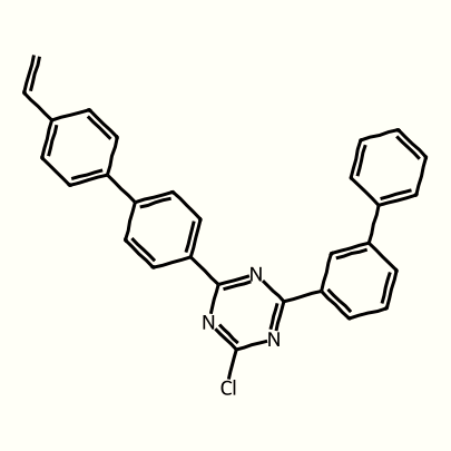 C=Cc1ccc(-c2ccc(-c3nc(Cl)nc(-c4cccc(-c5ccccc5)c4)n3)cc2)cc1